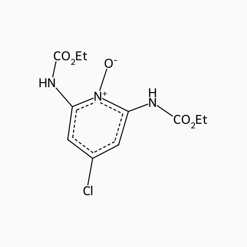 CCOC(=O)Nc1cc(Cl)cc(NC(=O)OCC)[n+]1[O-]